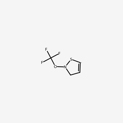 FC(F)(F)ON1CC=[C]S1